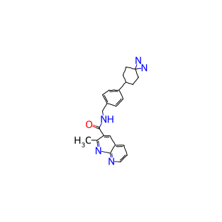 Cc1nc2ncccc2cc1C(=O)NCc1ccc(C2CCC3(CC2)N=N3)cc1